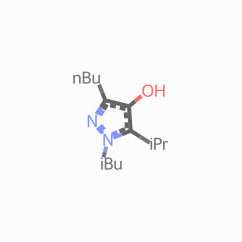 CCCCc1nn(C(C)CC)c(C(C)C)c1O